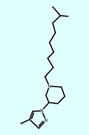 Cc1cnn(C2CCCN(CCCCCCCC(C)C)C2)c1